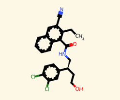 CCc1c(C#N)cc2ccccc2c1C(=O)NC[C@@H](CCO)c1ccc(Cl)c(Cl)c1